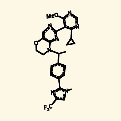 COc1ncnc(C2CC2)c1-c1ncc2c(n1)N(C(C)c1ccc(-c3nc(C(F)(F)F)cn3C)cc1)CCO2